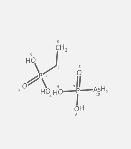 CCP(=O)(O)O.O=P(O)(O)[AsH2]